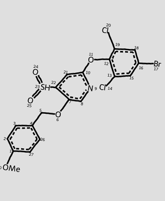 COc1ccc(COc2cnc(Oc3c(Cl)cc(Br)cc3Cl)cc2[SH](=O)=O)cc1